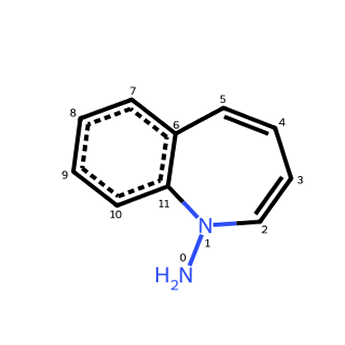 NN1C=CC=Cc2ccccc21